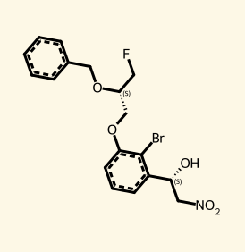 O=[N+]([O-])C[C@@H](O)c1cccc(OC[C@@H](CF)OCc2ccccc2)c1Br